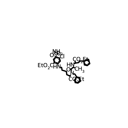 CCOC(=O)c1cc(S(N)(=O)=O)c(Cl)cc1NCCCCC(C(=O)OCC)N(Cc1ccccc1)C(=O)C(C)NC(CCc1ccccc1)C(=O)OCC